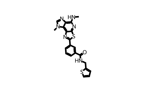 CNc1nc2sc(-c3cccc(C(=O)NCc4cccs4)c3)nc2c2c1ncn2C